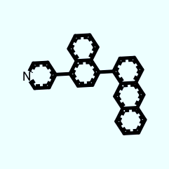 c1ccc2cc3c(-c4ccc(-c5ccncc5)c5ccccc45)cccc3cc2c1